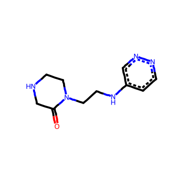 O=C1CNCCN1CCNc1ccnnc1